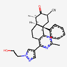 Cc1nc(-c2cnn(CCO)c2)c2c(n1)[C@@]1(c3ccccc3)CC(C#N)C(=O)[C@@H](C)[C@@H]1CC2